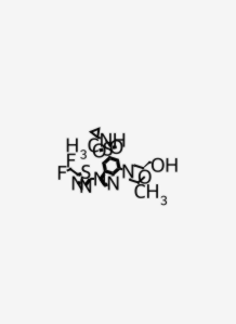 C[C@@H]1CN(c2cc(S(=O)(=O)NC3(C)CC3)cc3c2ncn3-c2nnc(C(F)F)s2)C[C@@H](CO)O1